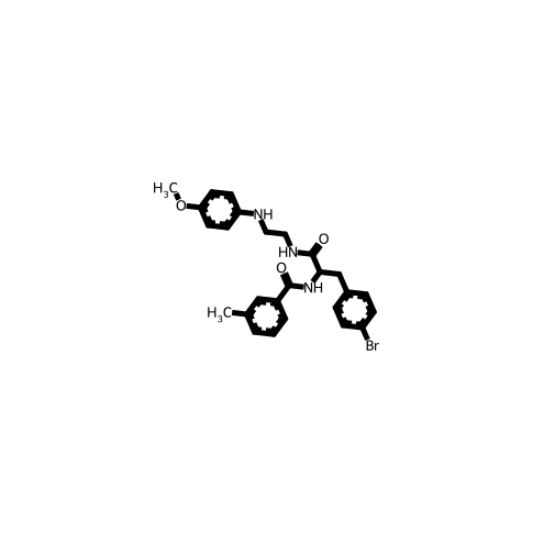 COc1ccc(NCCNC(=O)C(Cc2ccc(Br)cc2)NC(=O)c2cccc(C)c2)cc1